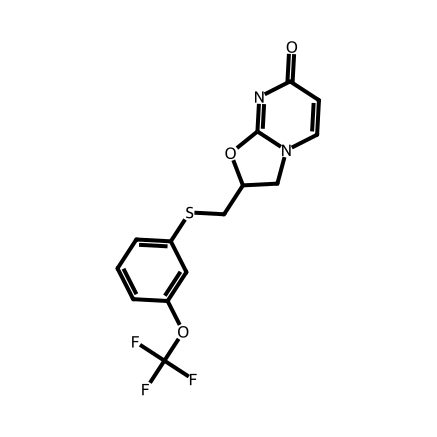 O=c1ccn2c(n1)OC(CSc1cccc(OC(F)(F)F)c1)C2